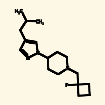 CC(C)Cc1cnn(C2CCN(CC3(F)CCC3)CC2)c1